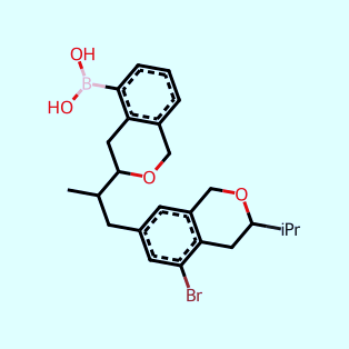 CC(C)C1Cc2c(Br)cc(CC(C)C3Cc4c(cccc4B(O)O)CO3)cc2CO1